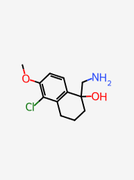 COc1ccc2c(c1Cl)CCCC2(O)CN